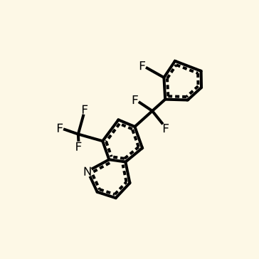 Fc1ccccc1C(F)(F)c1cc(C(F)(F)F)c2ncccc2c1